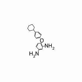 Nc1ccc(Oc2ccc(C3CCCCC3)cc2)c(N)c1